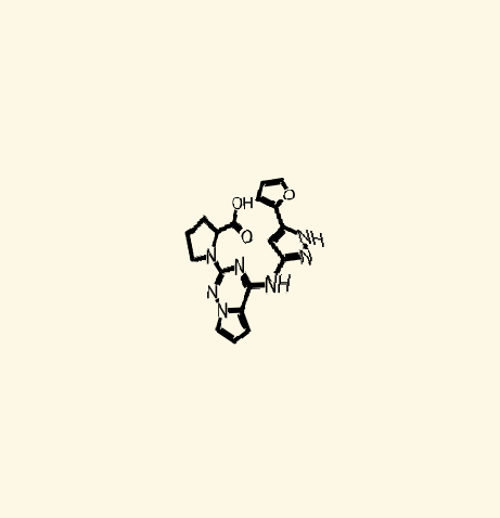 O=C(O)C1CCCN1c1nc(Nc2cc(-c3ccco3)[nH]n2)c2cccn2n1